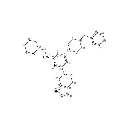 c1ccc(CN2CCN(c3nc(NCC4CCCCC4)nc(N4CCc5nc[nH]c5C4)n3)CC2)cc1